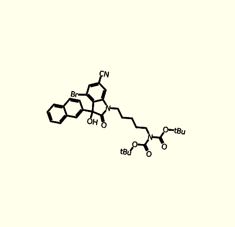 CC(C)(C)OC(=O)N(CCCCCN1C(=O)C(O)(c2ccc3ccccc3c2)c2c(Br)cc(C#N)cc21)C(=O)OC(C)(C)C